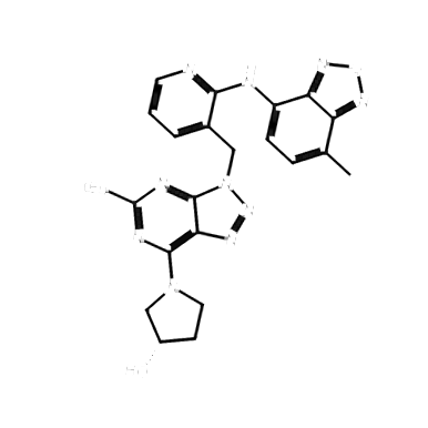 Cc1ccc(Nc2ncccc2Cn2nnc3c(N4CC[C@H](O)C4)nc(C(C)(C)C)nc32)c2nonc12